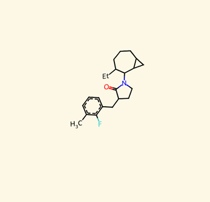 CCC1CCCC2CC2C1N1CCC(Cc2cccc(C)c2F)C1=O